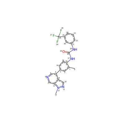 Cc1cc(-c2cncc3c2cnn3C)ccc1NC(=O)Nc1cccc(C(F)(F)F)c1